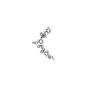 Cl.NCc1ccc(C(=O)OCOC(=O)[C@H]2CC[C@H](CNC(=O)OCc3ccccc3)CC2)cc1